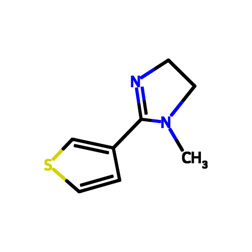 CN1CCN=C1c1ccsc1